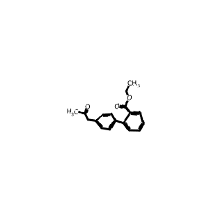 CCOC(=O)c1ccccc1-c1ccc(CC(C)=O)cc1